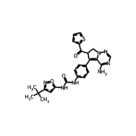 CC(C)(C)c1cc(NC(=O)Nc2ccc(C3=C4C(N)=NC=NN4CC3C(=O)c3cccs3)cc2)on1